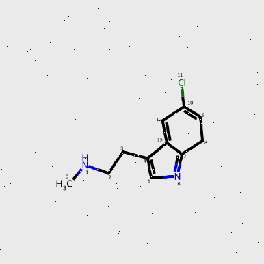 CNCCC1=CN=C2CC=C(Cl)C=C12